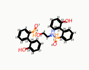 O=[PH](NCCO[PH](=O)c1ccccc1-c1ccccc1O)c1ccccc1-c1ccccc1O